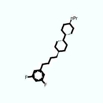 CCC[C@H]1CC[C@H]([C@H]2CC[C@H](CCCCc3cc(F)cc(F)c3)CC2)CC1